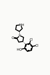 O=C1C[C@@H](c2c(O)ccc(Cl)c2Cl)CN1[C@@H]1CCNC1